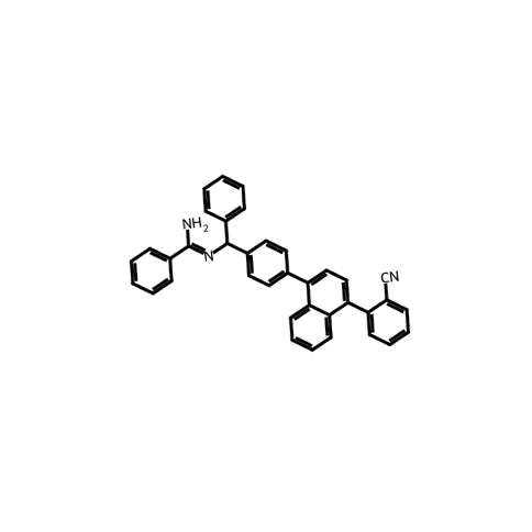 N#Cc1ccccc1-c1ccc(-c2ccc(C(/N=C(\N)c3ccccc3)c3ccccc3)cc2)c2ccccc12